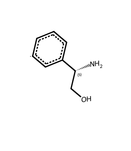 N[C@H](CO)c1c[c]ccc1